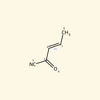 C/C=C/C(=O)C#N